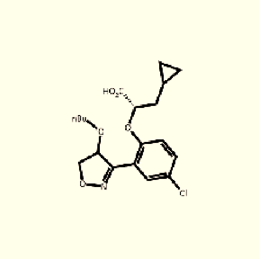 CCCCOC1CON=C1c1cc(Cl)ccc1O[C@@H](CC1CC1)C(=O)O